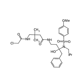 COc1ccc(S(=O)(=O)N(CC(C)C)C(O)(CCNC(=O)CC(C)(C)CNC(=O)CCl)Cc2ccccc2)cc1